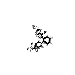 CN(C)C1(C(N)=O)CCN(c2ccccc2NC(=O)c2csc(Br)n2)CC1